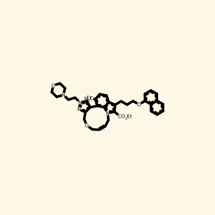 CCOC(=O)c1c(CCCOc2cccc3ccccc23)c2ccc(C)c3c2n1C/C=C\COCc1nn(CCN2CCOCC2)c(CC)c1-3